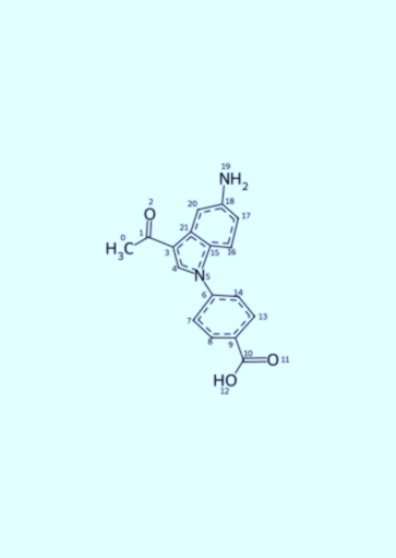 CC(=O)c1cn(-c2ccc(C(=O)O)cc2)c2ccc(N)cc12